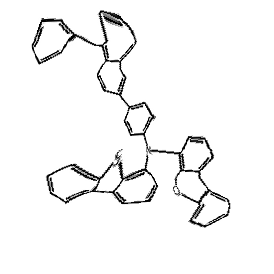 c1ccc(-c2cccc3cc(-c4ccc(N(c5cccc6c5oc5ccccc56)c5cccc6c5sc5ccccc56)cc4)ccc23)cc1